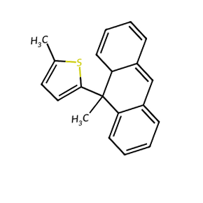 Cc1ccc(C2(C)c3ccccc3C=C3C=CC=CC32)s1